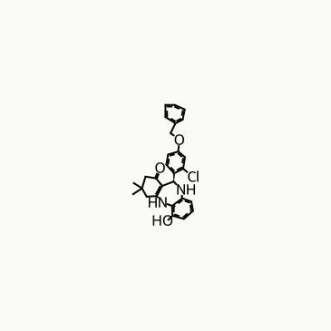 CC1(C)CC(=O)C2=C(C1)Nc1c(O)cccc1N[C@@H]2c1ccc(OCc2ccccc2)cc1Cl